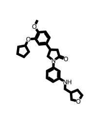 COc1ccc(C2CC(=O)N(c3cccc(NCC4CCOC4)c3)C2)cc1OC1CCCC1